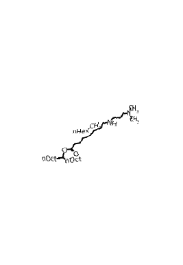 CCCCCCC.CCCCCCCCC(CCCCCCCC)OC(=O)CCCCCCCNCCCN(C)C